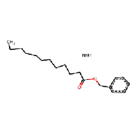 CCCCCCCCCCCC(=O)OCc1ccccc1.[NaH]